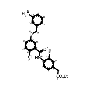 CCOC(=O)Cc1ccc(NC(=O)c2cc(OCc3cccc(C)c3)ccc2Cl)c(F)c1